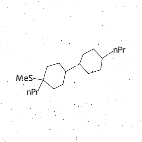 CCCC1CCC(C2CCC(CCC)(SC)CC2)CC1